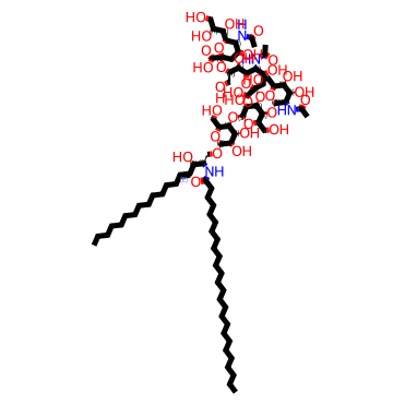 CCCCCCCCCCCCC/C=C/[C@@H](O)[C@H](CO[C@@H]1OC(CO)[C@@H](O[C@@H]2OC(CO)[C@H](O[C@@H]3OC(CO)[C@H](O)[C@H](O)C3NC(C)=O)[C@H](O[C@]3(C(=O)O)CC(O)[C@@H](NC(C)=O)C([C@H](O)[C@@H](CO)O[C@]4(C(=O)O)CC(O)[C@@H](NC(C)=O)C([C@H](O)[C@H](O)CO)O4)O3)C2O)[C@H](O)C1O)NC(=O)CCCCCCCCCCCCCCCCCCCCCCCCC